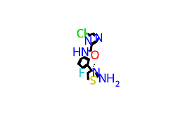 C[C@@]1(c2cc(NC(=O)c3cncc(Cl)n3)ccc2F)CCSC(N)=N1